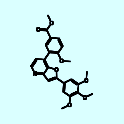 COC(=O)c1ccc(OC)c(-c2ccnc3cc(-c4cc(OC)c(OC)c(OC)c4)oc23)c1